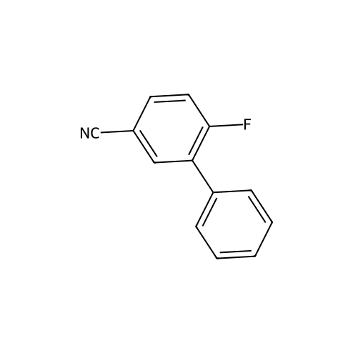 N#Cc1ccc(F)c(-c2ccccc2)c1